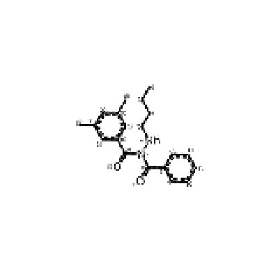 CCCCNN(C(=O)c1ccccc1)C(=O)c1cc(C)cc(C)c1